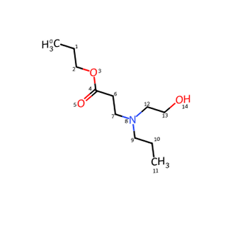 CCCOC(=O)CCN(CCC)CCO